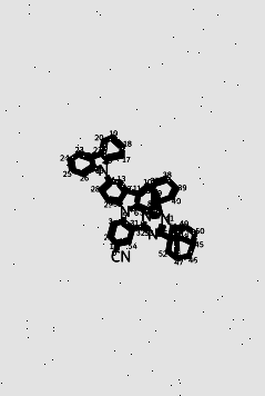 N#Cc1ccc(-n2c3ccccc3c3cc(-n4c5ccccc5c5ccccc54)ccc32)c(-c2nc(-c3ccccc3)nc(C34CC5CC(CC(C5)C3)C4)n2)c1